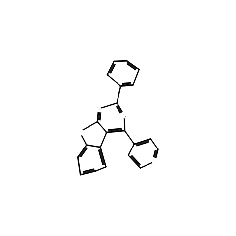 c1ccc(-c2nc(-c3ccncc3)c3c(n2)oc2ccccc23)cc1